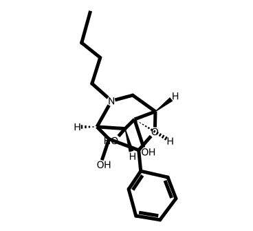 CCCCN1C[C@@H]2OC(c3ccccc3)C(O)[C@@H]1[C@@H](O)[C@@H]2O